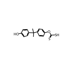 CC(C)(c1ccc(O)cc1)c1ccc(OC(=S)S)cc1